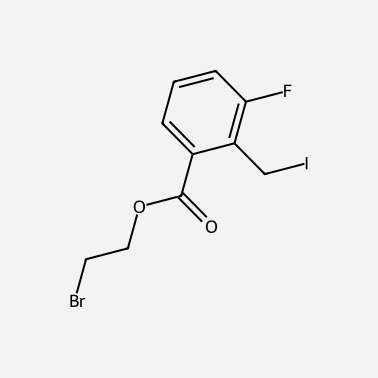 O=C(OCCBr)c1cccc(F)c1CI